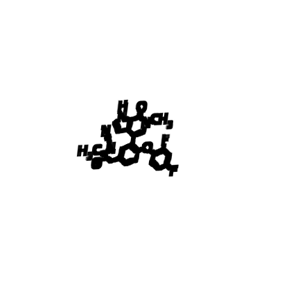 Cn1cc(-c2cc(CS(C)(=O)=NC#N)ccc2Oc2ccc(F)cc2F)c2cc[nH]c2c1=O